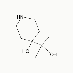 CC(C)(O)C1(O)CCNCC1